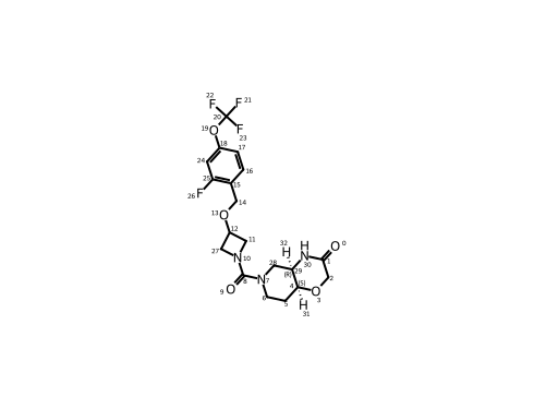 O=C1CO[C@H]2CCN(C(=O)N3CC(OCc4ccc(OC(F)(F)F)cc4F)C3)C[C@H]2N1